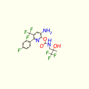 CC(O)(CNC(=O)Oc1nc(-c2ccc(F)cc2)c(C(F)(F)F)cc1N)C(F)(F)F